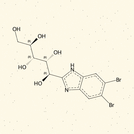 OC[C@@H](O)[C@@H](O)[C@H](O)[C@H](O)c1nc2cc(Br)c(Br)cc2[nH]1